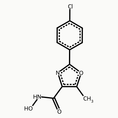 Cc1oc(-c2ccc(Cl)cc2)nc1C(=O)NO